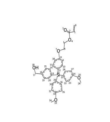 C=CC(=O)OCCOc1ccc([Si](c2ccc(CO)cc2)(c2ccc(OC)cc2)c2ccc(OC)cc2)cc1